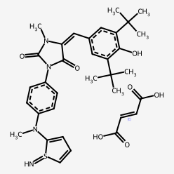 CN1C(=O)N(c2ccc(N(C)C3=CC=CS3=N)cc2)C(=O)C1=Cc1cc(C(C)(C)C)c(O)c(C(C)(C)C)c1.O=C(O)/C=C/C(=O)O